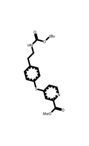 COC(=O)c1cc(Sc2ccc(CCNC(=O)OC(C)(C)C)cc2)ccn1